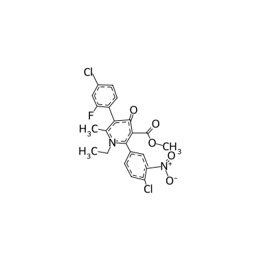 CCn1c(C)c(-c2ccc(Cl)cc2F)c(=O)c(C(=O)OC)c1-c1ccc(Cl)c([N+](=O)[O-])c1